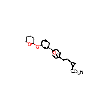 O=C(O)C1CC1CCC12CCC(c3cccc(OC4CCCCO4)c3)(CC1)OC2